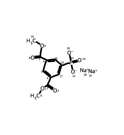 COC(=O)c1cc(C(=O)OC)cc(P(=O)([O-])[O-])c1.[Na+].[Na+]